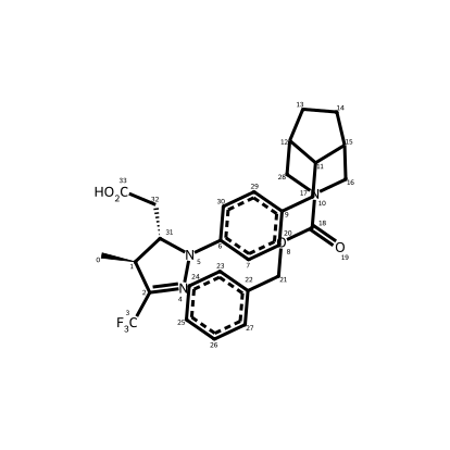 C[C@@H]1C(C(F)(F)F)=NN(c2ccc(CC3C4CCC3CN(C(=O)OCc3ccccc3)C4)cc2)[C@H]1CC(=O)O